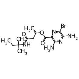 C=C(CC(=O)NC(C)(C)CC)OC(=O)c1nc(Br)c(N)nc1N